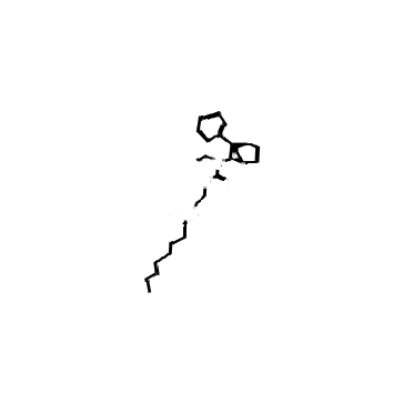 CCCCCCCC(=O)OCCOC(=O)N(CC)C1C2CCC(C2)C1c1ccccc1